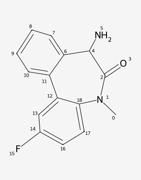 CN1C(=O)C(N)c2ccccc2-c2cc(F)ccc21